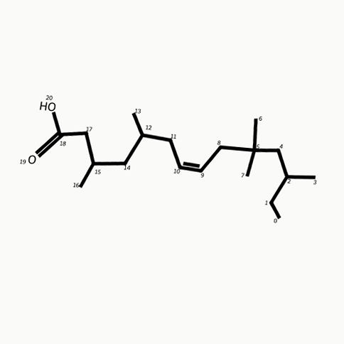 CCC(C)CC(C)(C)C/C=C\CC(C)CC(C)CC(=O)O